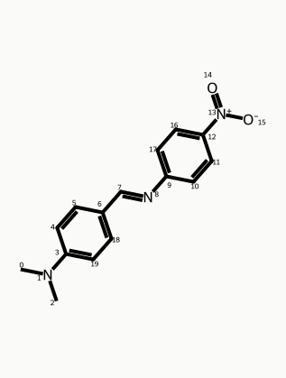 CN(C)c1ccc(C=Nc2ccc([N+](=O)[O-])cc2)cc1